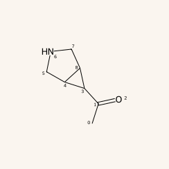 CC(=O)C1C2CNCC21